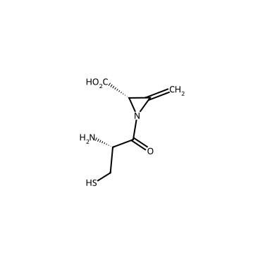 C=C1[C@@H](C(=O)O)N1C(=O)[C@@H](N)CS